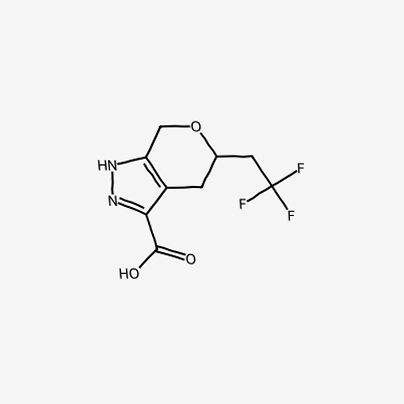 O=C(O)c1n[nH]c2c1CC(CC(F)(F)F)OC2